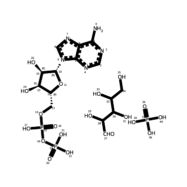 Nc1ncnc2c1ncn2[C@@H]1O[C@H](COP(=O)(O)OP(=O)(O)O)[C@@H](O)[C@H]1O.O=CC(O)C(O)C(O)CO.O=P(O)(O)O